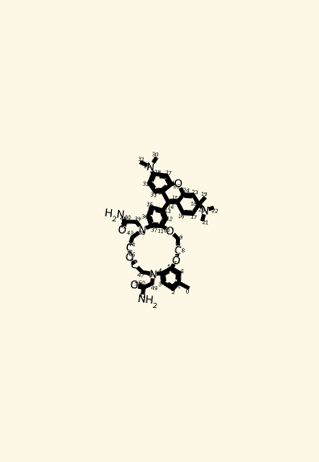 Cc1ccc2c(c1)OCCOc1cc(C3=C4C=CC(C)(N(C)C)C=C4Oc4cc(N(C)C)ccc43)ccc1N(CC(N)=O)CCOCCN2CC(N)=O